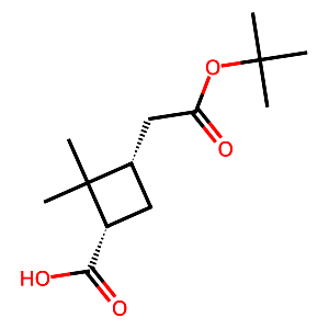 CC(C)(C)OC(=O)C[C@@H]1C[C@H](C(=O)O)C1(C)C